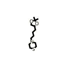 CC1(C)OCC(CCCCN2CCSCC2)O1